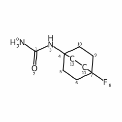 NC(=O)NC12CCC(F)(CC1)CC2